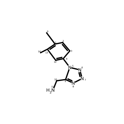 Cc1ccc(-n2nnnc2CN)cc1C